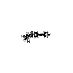 Cc1ncc(C#CC2=CCN(S(=O)(=O)C[C@@]3(C)NC(=O)NC3=O)CC2)cn1